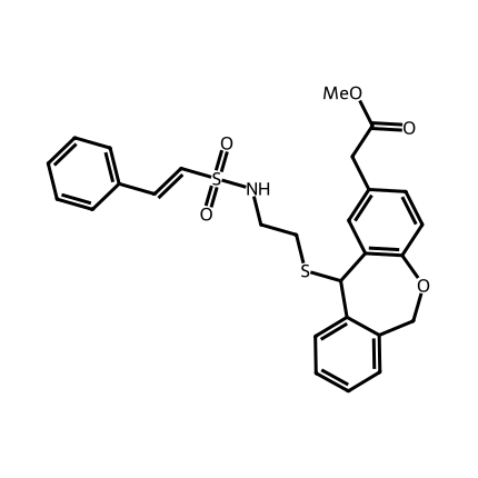 COC(=O)Cc1ccc2c(c1)C(SCCNS(=O)(=O)/C=C/c1ccccc1)c1ccccc1CO2